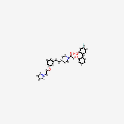 O=C(COc1ccccc1-c1ccc(F)cc1O)N1CCC(CCc2cccc(OCCN3CCCC3)c2)CC1